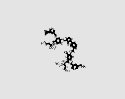 C/N=C/c1cncc(COc2cc(OCc3cccc(-c4cccc(COc5cc(OCc6cncc(C7C=N7)c6)c(CN[C@H](CCO)C(=O)O)cc5Cl)c4C)c3C)c(Cl)cc2CN[C@H](CCO)C(=O)O)c1